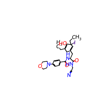 CCC1=C(O)C(I)(CC)C=C(CC(NC(=O)c2ccc(N3CCOCC3)cc2)C(=O)NCC#N)C1